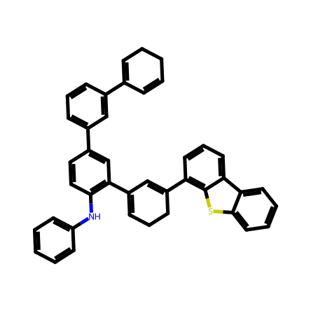 C1=CC(c2cccc(-c3ccc(Nc4ccccc4)c(C4=CCCC(c5cccc6c5sc5ccccc56)=C4)c3)c2)=CCC1